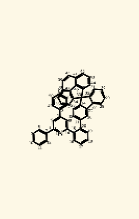 c1ccc(-c2cc(-c3ccccc3)nc(-c3ccccc3-c3ccc4c(c3)-c3ccccc3C43c4cccc5ccc6cccc3c6c45)c2)cc1